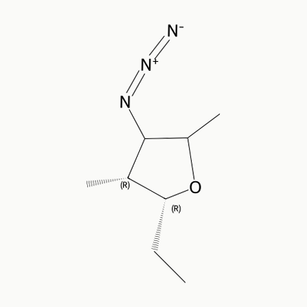 CC[C@H]1OC(C)C(N=[N+]=[N-])[C@H]1C